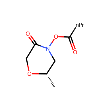 CCCC(=O)ON1C[C@H](C)OCC1=O